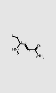 CCC(C=CC(N)=O)NC